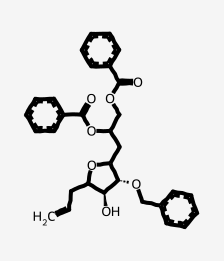 C=CCC1OC(CC(COC(=O)c2ccccc2)OC(=O)c2ccccc2)[C@H](OCc2ccccc2)[C@H]1O